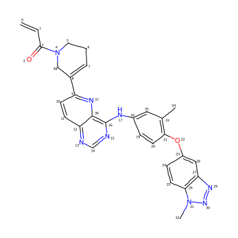 C=CC(=O)N1CCC=C(c2ccc3ncnc(Nc4ccc(Oc5ccc6c(c5)nnn6C)c(C)c4)c3n2)C1